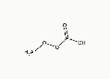 O=C(O)O[O][AlH2]